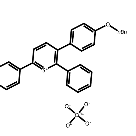 CCCCOc1ccc(-c2ccc(-c3ccccc3)[s+]c2-c2ccccc2)cc1.[O-][Cl+3]([O-])([O-])[O-]